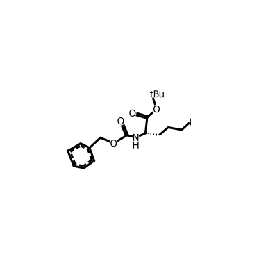 CC(C)(C)OC(=O)[C@H](CCCI)NC(=O)OCc1ccccc1